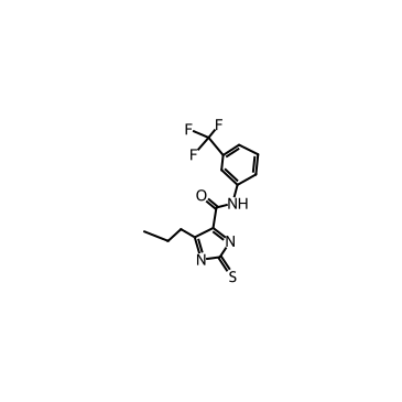 CCCC1=NC(=S)N=C1C(=O)Nc1cccc(C(F)(F)F)c1